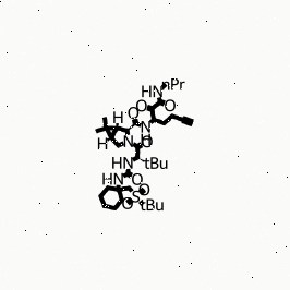 C#CCCC(NC(=O)[C@@H]1[C@@H]2[C@H](CN1C(=O)[C@@H](NC(=O)NC1(CS(=O)(=O)C(C)(C)C)CCCCC1)C(C)(C)C)C2(C)C)C(=O)C(=O)NCCC